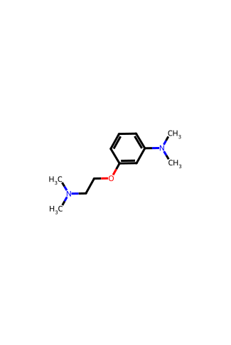 CN(C)CCOc1cccc(N(C)C)c1